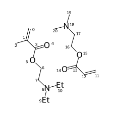 C=C(C)C(=O)OCCN(CC)CC.C=CC(=O)OCCN(C)C